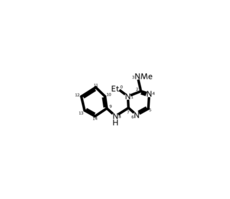 CCN1C(NC)=NC=NC1Nc1ccccc1